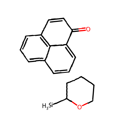 O=C1C=Cc2cccc3cccc1c23.[SiH3]C1CCCCO1